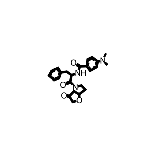 CN(C)c1ccc(C(=O)NC(Cc2ccccc2)C(=O)N2CCC3OCC(=O)C32)cc1